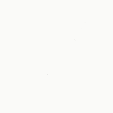 COC(=O)c1sc(-c2ccc(NC(=O)c3cccnn3)cc2)cc1N(C(=O)C1CCC(C)CC1)C(C)C